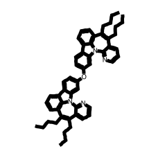 CCCCC1=C(CCCC)c2cccc3c4ccc(Oc5ccc6c7cccc8c7n(c6c5)-c5ncccc5C(CCCC)=C8CCCC)cc4n(c23)-c2ncccc21